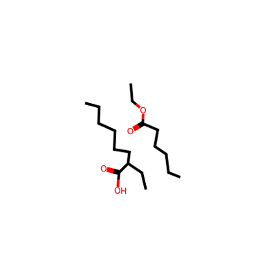 CCCCCC(=O)OCC.CCCCCCC(CC)C(=O)O